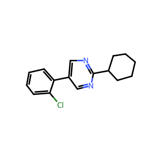 Clc1ccccc1-c1cnc(C2CCCCC2)nc1